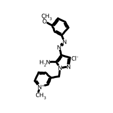 COc1cccc(/N=N/c2cnn(Cc3ccc[n+](C)c3)c2N)c1.[Cl-]